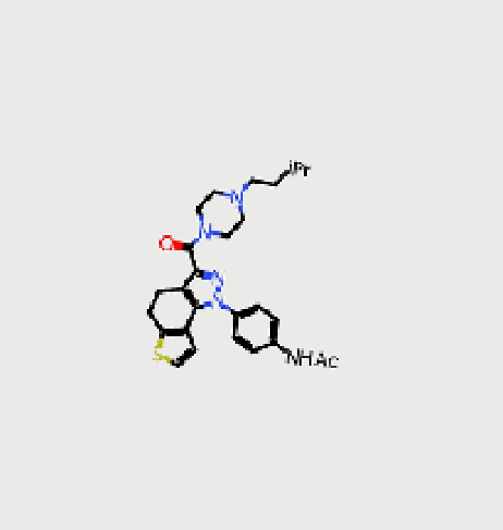 CC(=O)Nc1ccc(-n2nc(C(=O)N3CCN(CCC(C)C)CC3)c3c2-c2ccsc2CC3)cc1